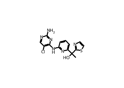 CC(O)(c1cccc(Nc2nc(N)ncc2Cl)n1)c1nccs1